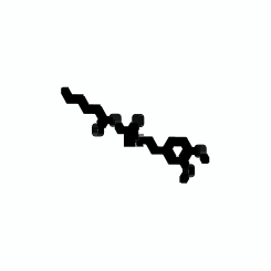 C/C=C/C=C/C(=O)OCC(=O)NCCc1ccc(OC)c(OC)c1